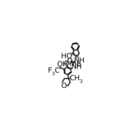 COc1c(NC(=O)N[C@@H]2Cc3ccccc3[C@H]2O)cc(C2(C)CCOCC2)cc1C(O)C(F)(F)F